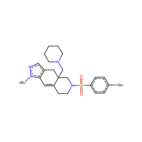 CCCCn1ncc2c1C=C1CCN(S(=O)(=O)c3ccc(C(C)(C)C)cc3)CC1(CN1CCCCC1)C2